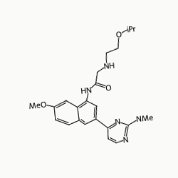 CNc1nccc(-c2cc(NC(=O)CNCCOC(C)C)c3cc(OC)ccc3c2)n1